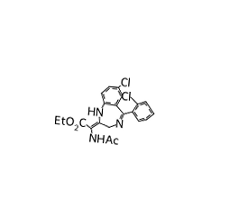 CCOC(=O)C(NC(C)=O)=C1CN=C(c2ccccc2Cl)c2cc(Cl)ccc2N1